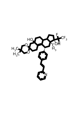 CC1(C)COC2(CCC3=C4C(CCC3(O)C2)C2CC[C@@](O)(C(F)(F)C(F)(F)F)[C@@]2(C)C[C@@H]4c2ccc(/C=C/c3ccccn3)cc2)OC1